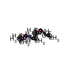 COc1ccc(C(=O)CCNc2ccccc2/C=C\c2cc(OC)c(OC)c(OOc3cc(C(=O)/C=C\Nc4ccccc4/C=C\c4cc(OC)c(OC)c(OC)c4)ccc3OC)c2)cc1F